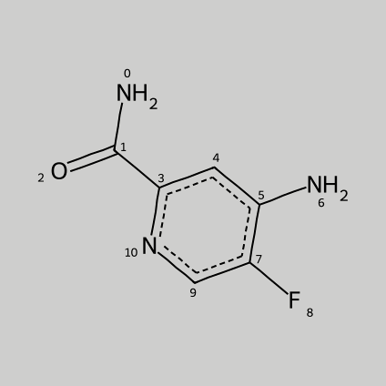 NC(=O)c1cc(N)c(F)cn1